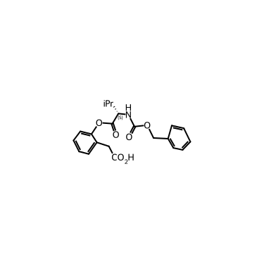 CC(C)[C@H](NC(=O)OCc1ccccc1)C(=O)Oc1ccccc1CC(=O)O